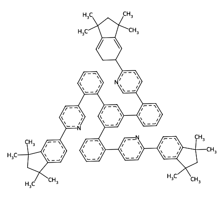 CC1(C)CC(C)(C)C2=CC(c3ccc(-c4ccccc4-c4cc(-c5ccccc5-c5ccc(-c6ccc7c(c6)C(C)(C)CC7(C)C)nc5)cc(-c5ccccc5-c5ccc(-c6ccc7c(c6)C(C)(C)CC7(C)C)nc5)c4)cn3)CC=C21